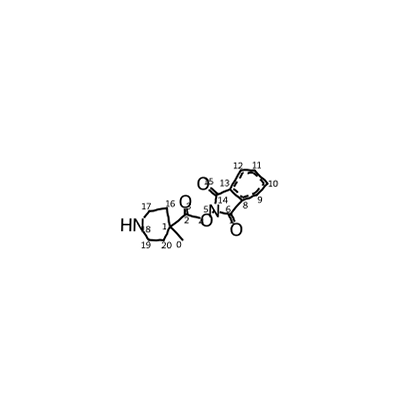 CC1(C(=O)ON2C(=O)c3ccccc3C2=O)CCNCC1